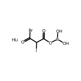 O=C(Br)C(I)C(=O)OB(O)O.[LiH]